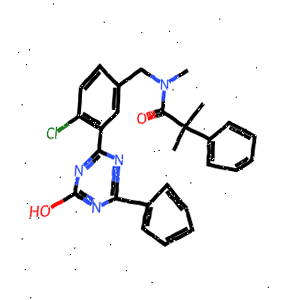 CN(Cc1ccc(Cl)c(-c2nc(O)nc(-c3ccccc3)n2)c1)C(=O)C(C)(C)c1ccccc1